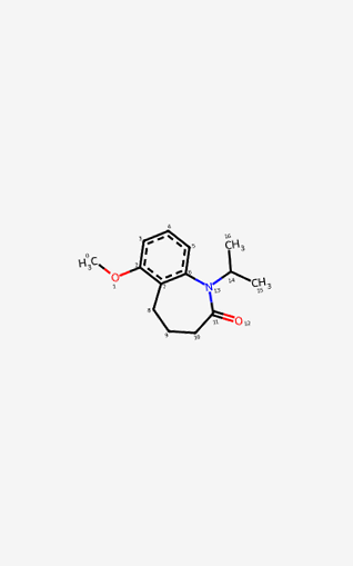 COc1cccc2c1CCCC(=O)N2C(C)C